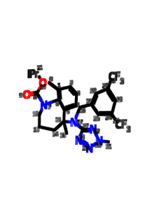 Cc1cccc2c1N(C(=O)OC(C)C)CCCC2(C)N(Cc1cc(C(F)(F)F)cc(C(F)(F)F)c1)c1nnn(C)n1